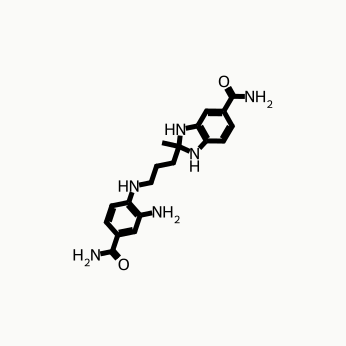 CC1(CCCNc2ccc(C(N)=O)cc2N)Nc2ccc(C(N)=O)cc2N1